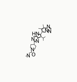 Cc1c(-c2[nH]c3cnc(C4CCN(C(=O)CN(C)C)CC4)nc3c2C(C)C)cn2ncnc2c1C